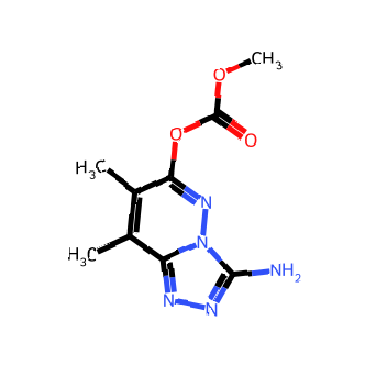 COC(=O)Oc1nn2c(N)nnc2c(C)c1C